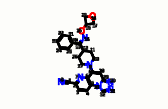 N#Cc1ccc2c(n1)c(N1CCC(/C(=N/OC3COC3)c3ccccc3)CC1)cc1nncn12